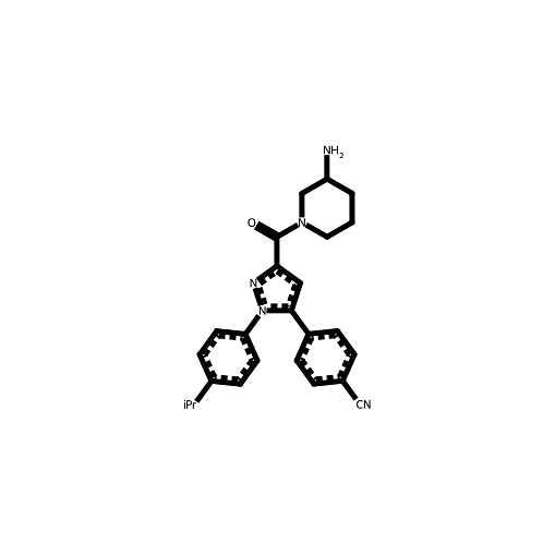 CC(C)c1ccc(-n2nc(C(=O)N3CCCC(N)C3)cc2-c2ccc(C#N)cc2)cc1